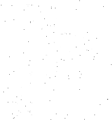 COC1CCN(C2=NC3(CCC(C(C)(C)C)CC3)N([C@H](CCC(C)(C)C)c3ccc(C(=O)NCc4nn[nH]n4)cc3)C2=O)CC1